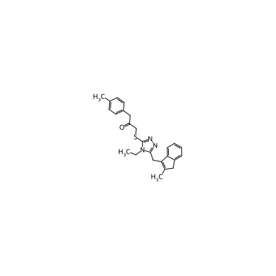 CCn1c(CC2=C(C)Cc3ccccc32)nnc1SCC(=O)Cc1ccc(C)cc1